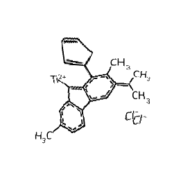 CC(C)=c1cc2c(c(C3=CC=CC3)c1C)=[C]([Ti+2])c1cc(C)ccc1-2.[Cl-].[Cl-]